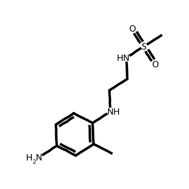 Cc1cc(N)ccc1NCCNS(C)(=O)=O